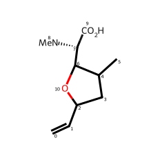 C=CC1CC(C)C([C@H](NC)C(=O)O)O1